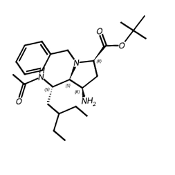 CCC(CC)C[C@H](NC(C)=O)[C@@H]1[C@H](N)C[C@H](C(=O)OC(C)(C)C)N1Cc1ccccc1